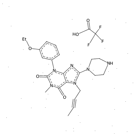 CC#CCn1c(N2CCNCC2)nc2c1c(=O)n(C)c(=O)n2-c1cccc(OCC)c1.O=C(O)C(F)(F)F